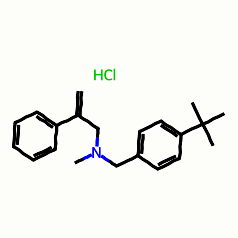 C=C(CN(C)Cc1ccc(C(C)(C)C)cc1)c1ccccc1.Cl